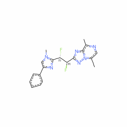 Cc1ncc(C)n2nc([C@@H](F)[C@@H](F)c3nc(-c4ccccc4)cn3C)nc12